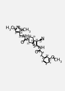 COc1cccc(CCC(=O)Nc2sc3c(c2C#N)CCN(C(=O)NCc2cc(C)nn2C)C3)c1